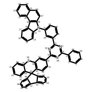 c1ccc(-c2nc(-c3cccc(-n4c5ccccc5c5c6ccccc6ccc54)c3)nc(-c3ccc4c(c3)Sc3ccccc3C43c4ccccc4-c4ccccc43)n2)cc1